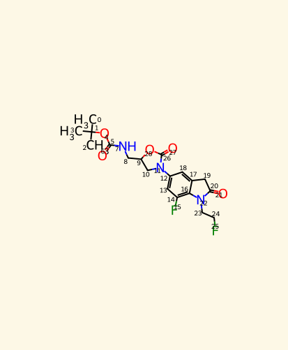 CC(C)(C)OC(=O)NCC1CN(c2cc(F)c3c(c2)CC(=O)N3CCF)C(=O)O1